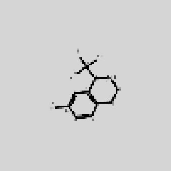 FC(F)(F)C1NCCc2ccc(Br)cc21